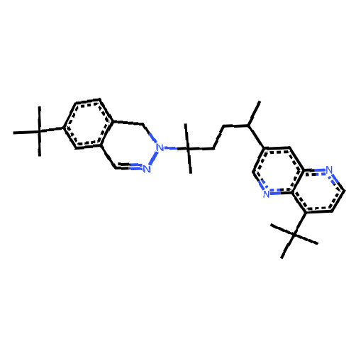 CC(CCC(C)(C)N1Cc2ccc(C(C)(C)C)cc2C=N1)c1cnc2c(C(C)(C)C)ccnc2c1